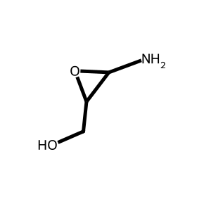 NC1OC1CO